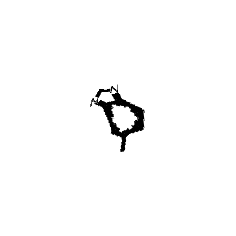 Cc1ccc2c(c1)=NCN=2